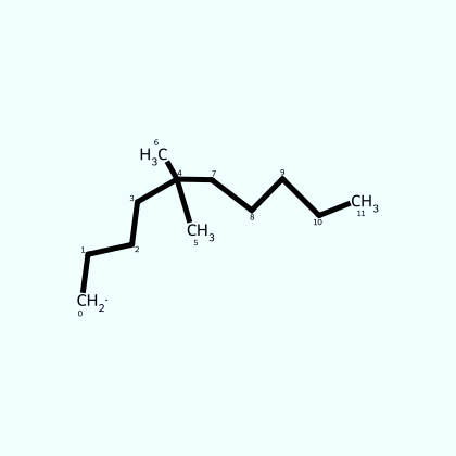 [CH2]CCCC(C)(C)CCCCC